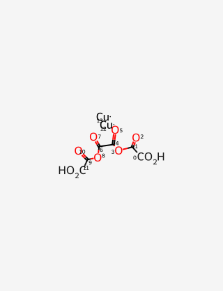 O=C(O)C(=O)OC(=O)C(=O)OC(=O)C(=O)O.[Cu].[Cu]